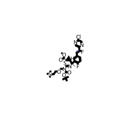 COC(=O)[C@]12C[C@H]1[C@@](C)(c1cc(/C=C(\F)c3cnc(Cl)cn3)ccc1F)N=C(N(COCC[Si](C)(C)C)C(=O)OC(C)(C)C)S2